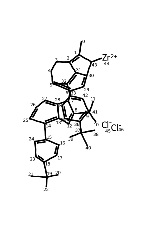 CC1=C2CCc3c(C4C(C(C)C)=Cc5c(-c6ccc(C(C)(C)C)cc6)cccc54)cc(c2c3-c2ccc(C(C)(C)C)cc2)[CH]1[Zr+2].[Cl-].[Cl-]